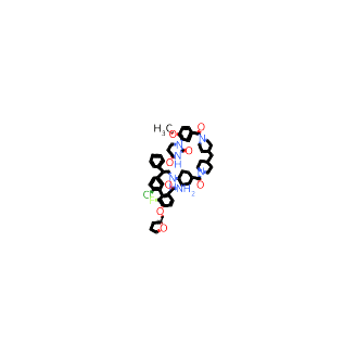 COc1ccc(C(=O)N2CCC(CC3CCN(C(=O)C4CCC(NCC(c5ccccc5)c5ccc(Cl)c(-c6c(C(N)=O)ccc(OC[C@@H]7CCCO7)c6F)c5)CC4)CC3)CC2)cc1N1CCC(=O)NC1=O